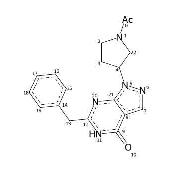 CC(=O)N1CCC(n2ncc3c(=O)[nH]c(Cc4ccccc4)nc32)C1